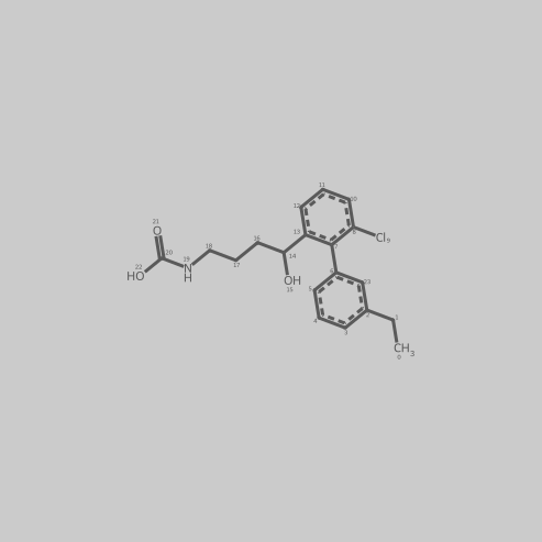 CCc1cccc(-c2c(Cl)cccc2C(O)CCCNC(=O)O)c1